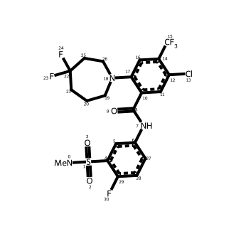 CNS(=O)(=O)c1cc(NC(=O)c2cc(Cl)c(C(F)(F)F)cc2N2CCCC(F)(F)CC2)ccc1F